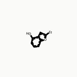 CCc1cc2c(O)cccc2o1